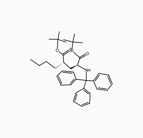 CCCC[C@@H](C[C@H](NC(c1ccccc1)(c1ccccc1)c1ccccc1)C(=O)OC(C)(C)C)C(=O)OC(C)(C)C